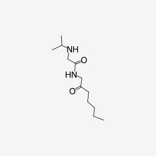 CCCCCC(=O)CNC(=O)CNC(C)C